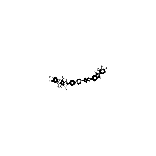 CC1(C)[C@H](NC(=O)c2ccc(N3CCN(C4CC5(C4)CN(c4ccc6c(c4)C(=O)N(C4CCC(=O)NC4=O)C6=O)C5)CC3)cc2)C(C)(C)[C@H]1Oc1ccc(C#N)c(Cl)c1